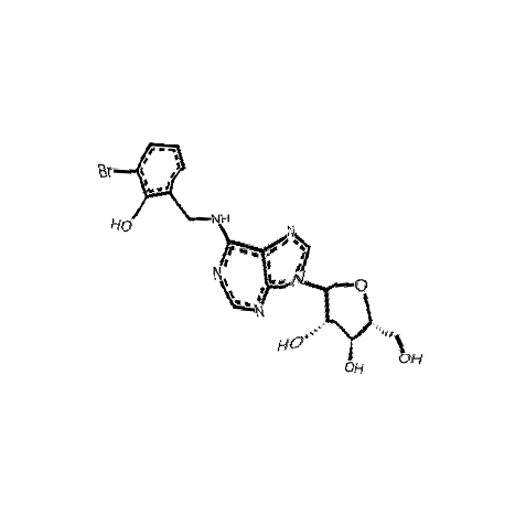 OC[C@H]1OC(n2cnc3c(NCc4cccc(Br)c4O)ncnc32)[C@@H](O)[C@@H]1O